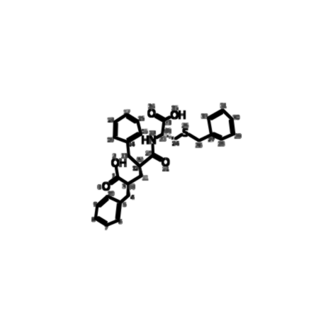 O=C(O)[C@H](Cc1ccccc1)C[C@@H](Cc1ccccc1)C(=O)N[C@@H](CSCc1ccccc1)C(=O)O